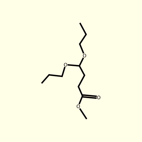 CCCOC(CCC(=O)OC)OCCC